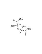 CC(C)(C)C(I)[Si](C)(O[Si](C)(C(I)C(C)(C)C)C(C)(C)C)C(C)(C)C